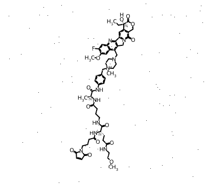 CC[C@@]1(O)C(=O)OCc2c1cc1n(c2=O)Cc2c-1nc1cc(F)c(OC)cc1c2CN1CC[N+](C)(Cc2ccc(NC(=O)[C@H](C)NC(=O)CCCNC(=O)[C@H](CCC(=O)NCCOC)NC(=O)CCCN3C(=O)C=CC3=O)cc2)CC1